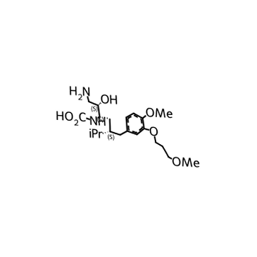 COCCCOc1cc(C[C@@H](C[C@H](NC(=O)O)[C@@H](O)CN)C(C)C)ccc1OC